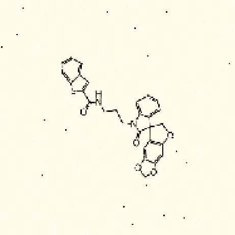 O=C(NCCCN1C(=O)C2(COc3cc4c(cc32)OCO4)c2ccccc21)c1cc2ccccc2s1